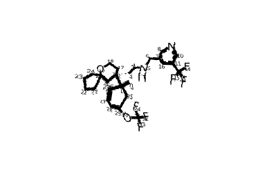 CC1([C@]2(CCNCc3cncc(C(F)(F)F)c3)CCOC3(CCCC3)C2)C=CC=C(OC(F)(F)F)C1